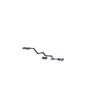 CCCCCCCCCCCCNS(=O)(=O)O.[NaH]